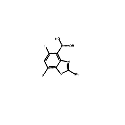 Nc1nc2c(B(O)O)c(F)cc(F)c2s1